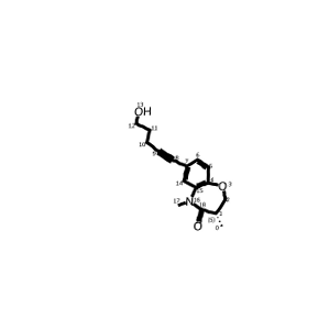 C[C@H]1COc2ccc(C#CCCCO)cc2N(C)C1=O